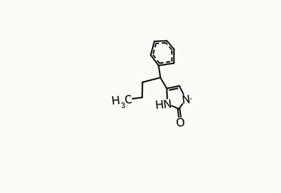 CCCC(C1=C[N]C(=O)N1)c1ccccc1